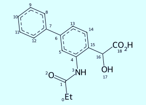 CCC(=O)Nc1cc(-c2ccccc2)ccc1C(O)C(=O)O